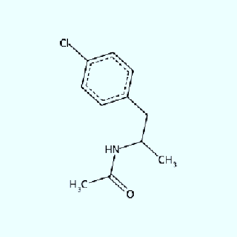 CC(=O)NC(C)Cc1ccc(Cl)cc1